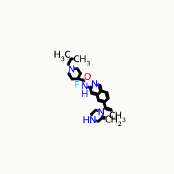 C=C1CNCCN1/C(=C\C)c1ccc2cnc(NC(=O)C3(F)CCN(CC(C)C)CC3)cc2c1